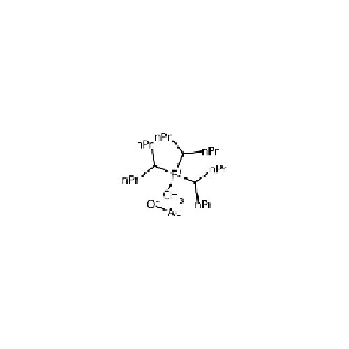 CC(=O)[O-].CCCC(CCC)[P+](C)(C(CCC)CCC)C(CCC)CCC